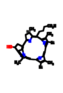 CCC1=C(C)c2cc3[nH]c(c(C)c3CC)c(CCCC(=O)O)c3nc(c4c5[nH]c(cc1n2)c(C)c5C(O)C4)C[C@@H]3C